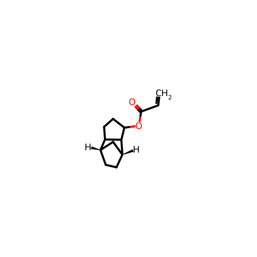 C=CC(=O)OC1CCC2C1[C@@H]1CC[C@H]2C1